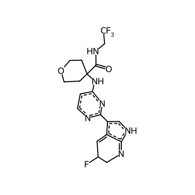 O=C(NCC(F)(F)F)C1(Nc2ccnc(-c3c[nH]c4c3=CC(F)CN=4)n2)CCOCC1